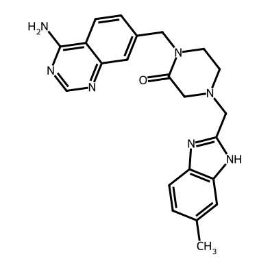 Cc1ccc2nc(CN3CCN(Cc4ccc5c(N)ncnc5c4)C(=O)C3)[nH]c2c1